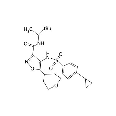 CC(NC(=O)c1noc(C2CCOCC2)c1NS(=O)(=O)c1ccc(C2CC2)cc1)C(C)(C)C